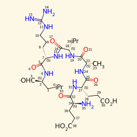 CC(C)C[C@@H]([C]=O)NC(=O)[C@H](CCCNC(=N)N)NC(=O)[C@@H](NC(=O)[C@H](C)NC(=O)[C@H](CCC(=O)O)NC(=O)[C@@H](N)CCC(=O)O)C(C)C